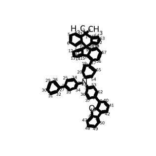 CC1(C)c2ccccc2C2(c3ccccc3-c3c(-c4ccc(N(c5ccc(-c6ccccc6)cc5)c5ccc(-c6cccc7c6oc6ccccc67)cc5)cc4)cccc32)c2ccccc21